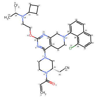 C=CC(=O)N1CCN(c2nc(OCCN(C3CCC3)[C@H](C)C(F)(F)F)nc3c2CCN(c2cccc4cccc(Cl)c24)C3)C[C@@H]1CC#N